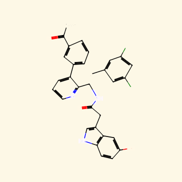 CNC(=O)c1cccc(-c2cccnc2[C@H](Cc2cc(F)cc(Cl)c2)NC(=O)Cc2c[nH]c3ccc(O)cc23)c1